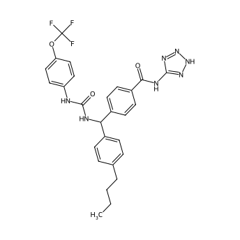 CCCCc1ccc(C(NC(=O)Nc2ccc(OC(F)(F)F)cc2)c2ccc(C(=O)Nc3nn[nH]n3)cc2)cc1